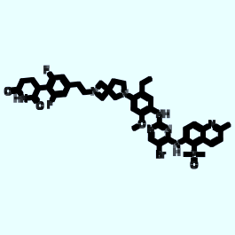 CCc1cc(Nc2ncc(Br)c(Nc3ccc4nc(C)ccc4c3P(C)(C)=O)n2)c(OC)cc1N1CCC2(CN(CCc3cc(F)c(C4CCC(=O)NC4=O)c(F)c3)C2)C1